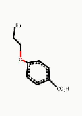 CCC(C)CCOc1ccc(C(=O)O)cc1